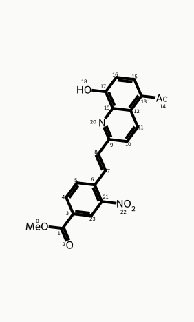 COC(=O)c1ccc(/C=C/c2ccc3c(C(C)=O)ccc(O)c3n2)c([N+](=O)[O-])c1